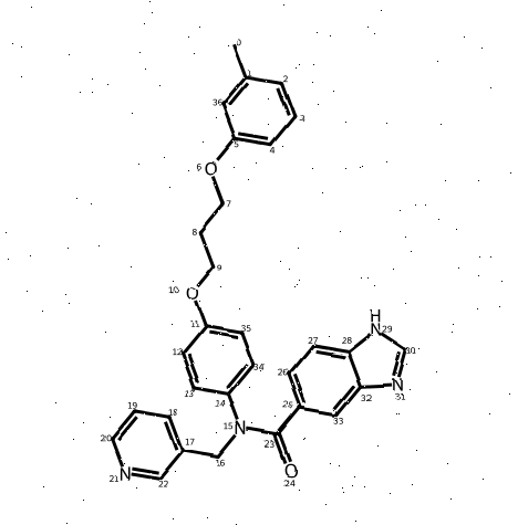 Cc1cccc(OCCCOc2ccc(N(Cc3cccnc3)C(=O)c3ccc4[nH]cnc4c3)cc2)c1